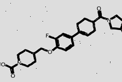 O=C(O)N1CCC(COc2ccc(C3=CCC(C(=O)N4CC[C@@H](F)C4)CC3)cc2F)CC1